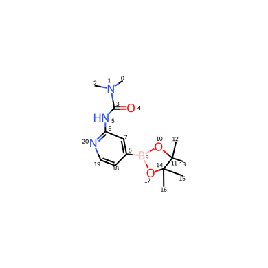 CN(C)C(=O)Nc1cc(B2OC(C)(C)C(C)(C)O2)ccn1